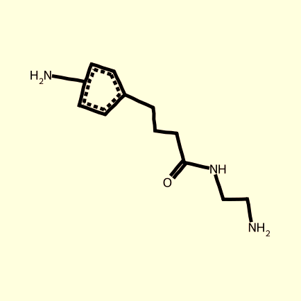 NCCNC(=O)CCCc1ccc(N)cc1